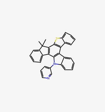 CC1(C)c2ccccc2-c2c1c1sc3ccccc3c1c1c3ccccc3n(-c3cccnc3)c21